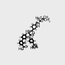 CC(C)(C)OC(=O)NCC1CCC(C(=O)N[C@@H](Cc2ccc(-c3cccc(C(=O)O)c3F)cc2)C(=O)Nc2ccc(-c3nn[nH]n3)cc2)CC1